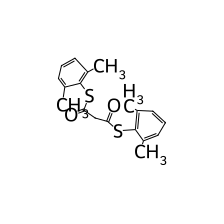 Cc1cccc(C)c1SC(=O)CC(=O)Sc1c(C)cccc1C